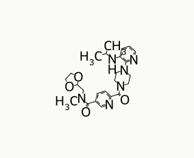 CC(C)Nc1cccnc1N1CCN(C(=O)c2ccc(C(=O)N(C)CC3OCCO3)cn2)CC1